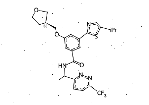 CC(C)c1cnc(-c2cc(OC[C@H]3CCOC3)cc(C(=O)NC(C)c3ccc(C(F)(F)F)nn3)c2)s1